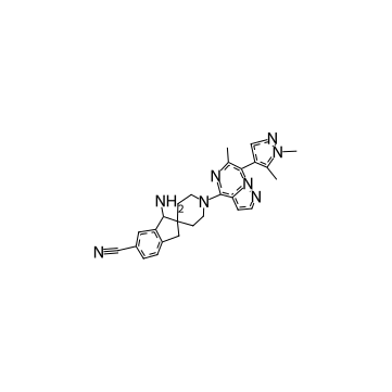 Cc1nc(N2CCC3(CC2)Cc2ccc(C#N)cc2C3N)c2ccnn2c1-c1cnn(C)c1C